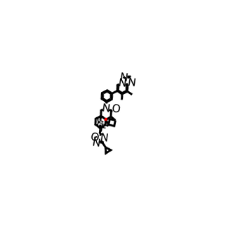 Cc1c(-c2cccc(N(CC34CCC(c5nc(C6CC6)no5)(CC3)CC4)C(=O)C3CC4(F)CC3C4)c2)cn2ncnc2c1C